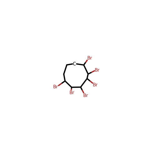 BrC1CCCC(Br)C(Br)C(Br)C(Br)C1Br